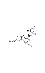 COC1CCc2sc3c(N4C[C@H]5CN(C)C[C@H]5C4)nc(N)nc3c2C1